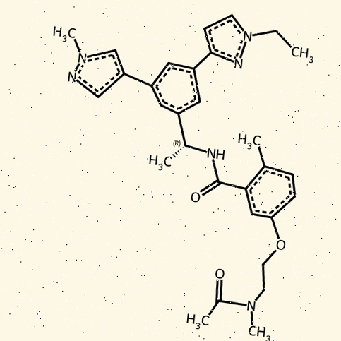 CCn1ccc(-c2cc(-c3cnn(C)c3)cc([C@@H](C)NC(=O)c3cc(OCCN(C)C(C)=O)ccc3C)c2)n1